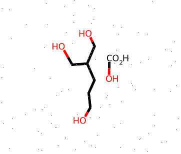 O=C(O)O.OCCCC(CO)CO